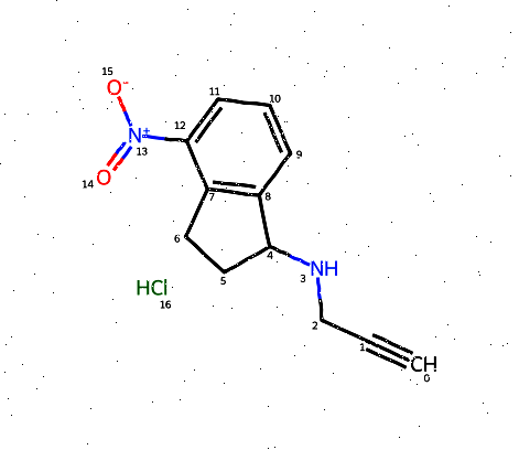 C#CCNC1CCc2c1cccc2[N+](=O)[O-].Cl